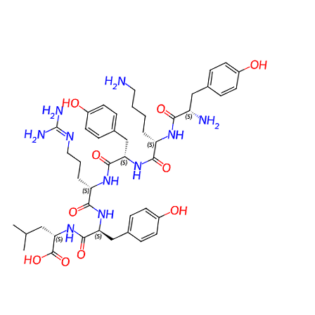 CC(C)C[C@H](NC(=O)[C@H](Cc1ccc(O)cc1)NC(=O)[C@H](CCCN=C(N)N)NC(=O)[C@H](Cc1ccc(O)cc1)NC(=O)[C@H](CCCCN)NC(=O)[C@@H](N)Cc1ccc(O)cc1)C(=O)O